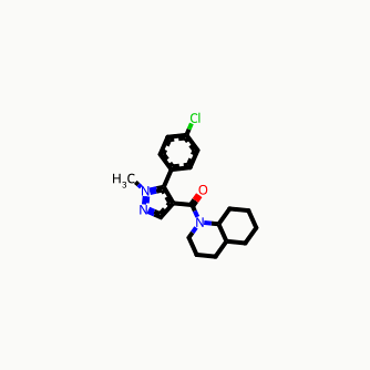 Cn1ncc(C(=O)N2CCCC3CCCCC32)c1-c1ccc(Cl)cc1